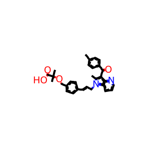 Cc1ccc(C(=O)c2c(C)n(C/C=C/c3ccc(COC(C)(C)C(=O)O)cc3)c3cccnc23)cc1